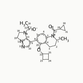 CC1CCc2c(ccc(-c3cnn4c3N([S+](C)[O-])CC4)c2OC2CCC2)N1C(=O)C1CC1